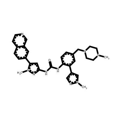 CN1CCN(Cc2ccc(NC(=O)Nc3cc(-c4ccc5ccncc5c4)n(C)n3)c(-c3cnn(C)c3)c2)CC1